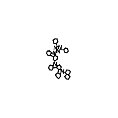 c1ccc(-c2nc(-c3ccccc3)nc(-n3c4ccccc4c4cc(-n5c6ccccc6c6c7c8ccccc8n(-c8cccc9ccccc89)c7ccc65)ccc43)n2)cc1